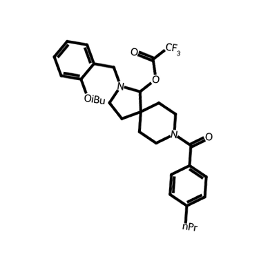 CCCc1ccc(C(=O)N2CCC3(CC2)CCN(Cc2ccccc2OCC(C)C)C3OC(=O)C(F)(F)F)cc1